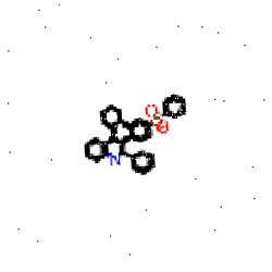 O=S(=O)(c1ccccc1)c1ccc2c(c1)c1ccccc1c1c3ccccc3nc(-c3ccccc3)c21